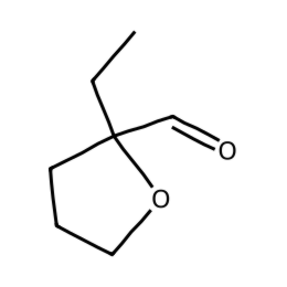 CCC1(C=O)CCCO1